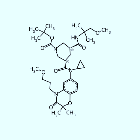 COCCCN1C(=O)C(C)(C)Oc2ccc(N(C(=O)[C@@H]3C[C@H](C(=O)NC(C)(C)COC)CN(C(=O)OC(C)(C)C)C3)C3CC3)cc21